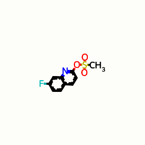 CS(=O)(=O)Oc1ccc2ccc(F)cc2n1